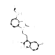 Cc1[nH]c2ccc(F)cc2c1CCN1c2cccc(NC=O)c2OC1C